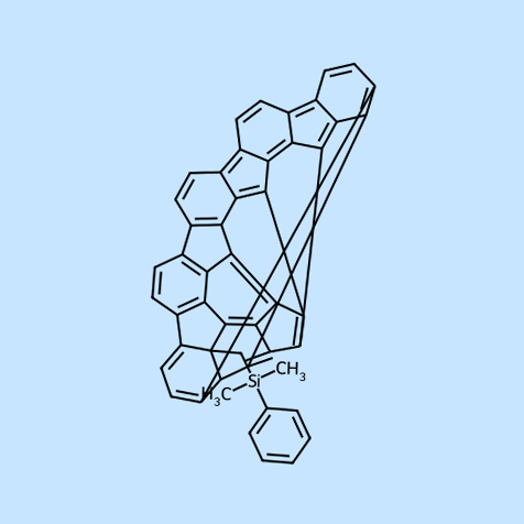 C[Si](C)(CC12C3=CC=C4c5ccc6c7ccc8c9ccc%10c%11ccc3c3c1c1c%12c(c5c6c5c7c8c6c9c%10c(c3%11)c1c6c%125)C42)c1ccccc1